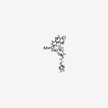 COc1ccc2ncc(Cl)c([C@H](F)CCC3(CO)CCN(CCCCc4nccs4)CC3)c2c1